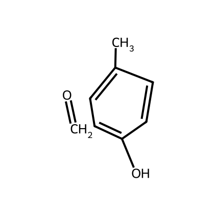 C=O.Cc1ccc(O)cc1